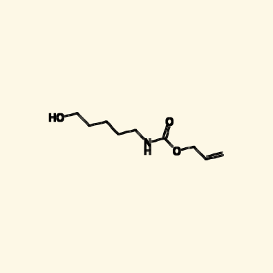 C=CCOC(=O)NCCCCCO